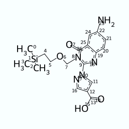 C[Si](C)(C)CCOCn1c(-n2cc(C(=O)O)cn2)nc2ccc(N)cc2c1=O